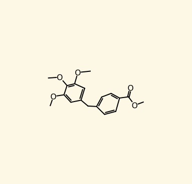 COC(=O)c1ccc(Cc2cc(OC)c(OC)c(OC)c2)cc1